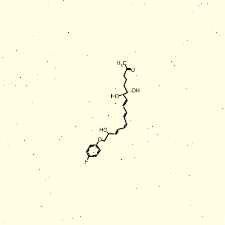 CC(=O)CCC[C@H](O)[C@H](O)/C=C/C=C/C=C\C=C\[C@H](O)COc1ccc(F)cc1